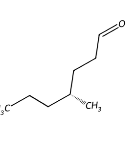 CCC[C@@H](C)CCC=O